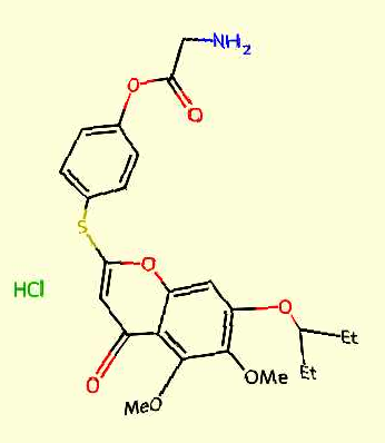 CCC(CC)Oc1cc2oc(Sc3ccc(OC(=O)CN)cc3)cc(=O)c2c(OC)c1OC.Cl